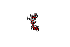 COC(=O)N[C@H](C(=O)N1C2CCC(C2)[C@H]1C(=O)Nc1ccc([C@@H]2CC[C@@H](c3ccc(NC(=O)[C@@H]4C5CCC(C5)N4C(=O)[C@@H](NC(=O)OC)C(C)C)cc3)N2c2ccc(C(C)(C)C)cc2)cc1)C(C)C